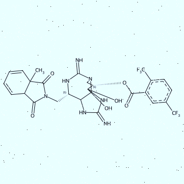 CC12C=CC=CC1C(=O)N(C[C@@H]1NC(=N)N3C[C@H](OC(=O)c4cc(C(F)(F)F)ccc4C(F)(F)F)C(O)(O)C34NC(=N)NC14)C2=O